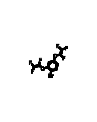 FC(F)=C(F)Oc1ccc(Br)c(OC(F)=C(F)F)c1